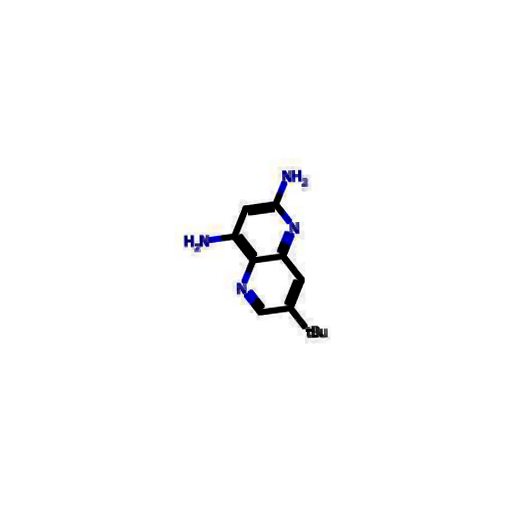 CC(C)(C)c1cnc2c(N)cc(N)nc2c1